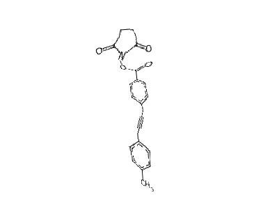 Cc1ccc(C#Cc2ccc(C(=O)ON3C(=O)CCC3=O)cc2)cc1